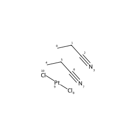 CCC#N.CCC#N.[Cl][Pt][Cl]